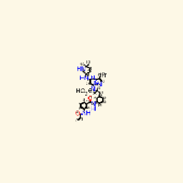 C=CC(=O)Nc1cccc(C(=O)Nc2cccc(CC(C)(C)N(C(=O)O)c3cc(N[C@H]4CCC(C)(C)NC4)nc4c(C(C)C)cnn34)c2)c1